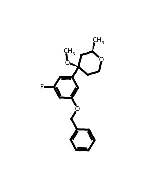 CO[C@]1(c2cc(F)cc(OCc3ccccc3)c2)CCO[C@H](C)C1